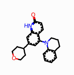 O=c1ccc2c(N3CCCc4ccccc43)cc(C3CCOCC3)cc2[nH]1